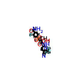 C[C@](O)(CS(=O)(=O)c1ccc(C(N)=O)c(F)c1)C(=O)Nc1ccc(C#N)c(C(F)(F)F)n1